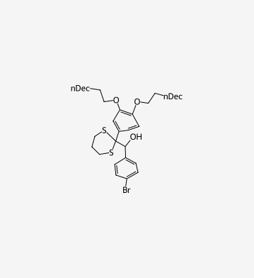 CCCCCCCCCCCCOc1ccc(C2(C(O)c3ccc(Br)cc3)SCCCS2)cc1OCCCCCCCCCCCC